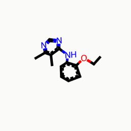 CCOc1ccccc1Nc1ncnc(C)c1C